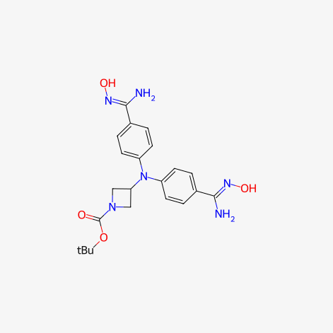 CC(C)(C)OC(=O)N1CC(N(c2ccc(C(N)=NO)cc2)c2ccc(C(N)=NO)cc2)C1